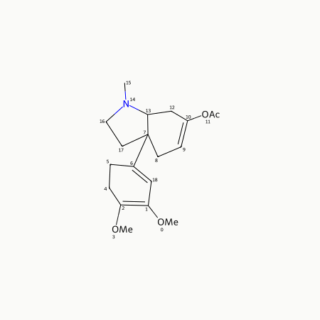 COC1=C(OC)CCC(C23CC=C(OC(C)=O)CC2N(C)CC3)=C1